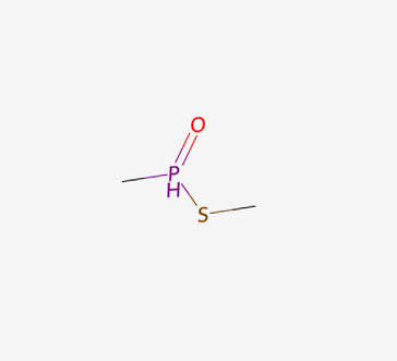 CS[PH](C)=O